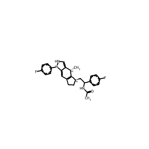 CC(=O)NC(C[C@H]1CCC2=C1[C@@H](C)C1=CNN(c3ccc(F)cc3)C1=C2)c1ccc(F)cc1